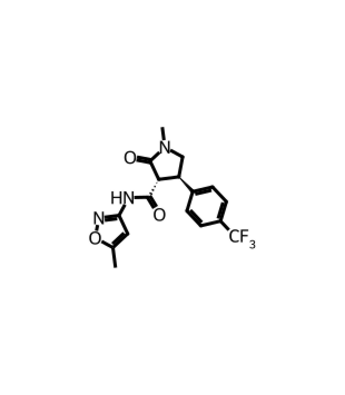 Cc1cc(NC(=O)[C@@H]2C(=O)N(C)C[C@H]2c2ccc(C(F)(F)F)cc2)no1